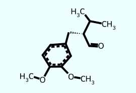 COc1ccc(C[C@@H](C=O)C(C)C)cc1OC